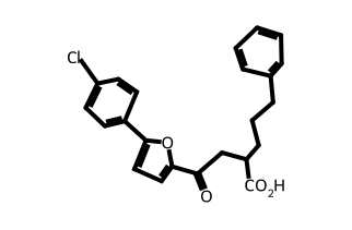 O=C(CC(CCCc1ccccc1)C(=O)O)c1ccc(-c2ccc(Cl)cc2)o1